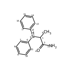 CC(C(N)=O)[SiH](c1ccccc1)c1ccccc1